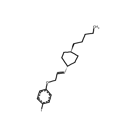 CCCCC[C@H]1CC[C@H](/C=C/COc2ccc(I)cc2)CC1